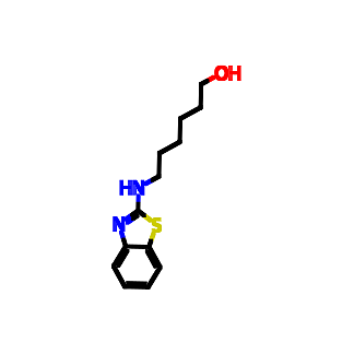 OCCCCCCNc1nc2ccccc2s1